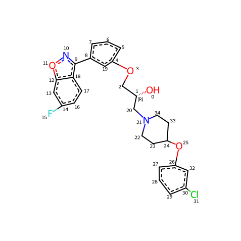 O[C@@H](COc1cccc(-c2noc3cc(F)ccc23)c1)CN1CCC(Oc2cccc(Cl)c2)CC1